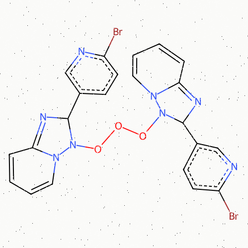 Brc1ccc(C2N=C3C=CC=CN3N2OOON2C(c3ccc(Br)nc3)N=C3C=CC=CN32)cn1